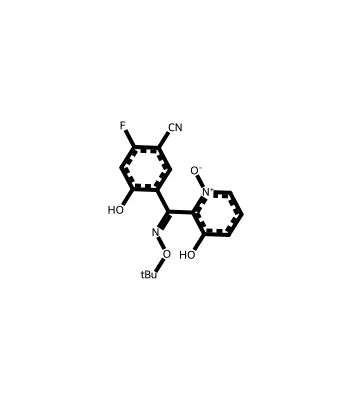 CC(C)(C)O/N=C(/c1cc(C#N)c(F)cc1O)c1c(O)ccc[n+]1[O-]